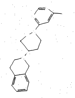 O[C@@H]1CN(c2cc(Cl)ncn2)CC[C@H]1N1CCc2ccccc2C1